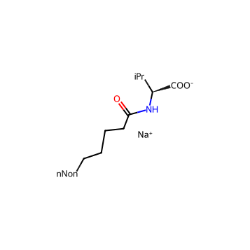 CCCCCCCCCCCCCC(=O)N[C@H](C(=O)[O-])C(C)C.[Na+]